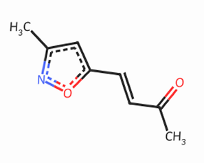 CC(=O)C=Cc1cc(C)no1